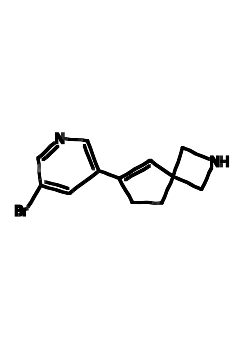 Brc1cncc(C2=CC3(CC2)CNC3)c1